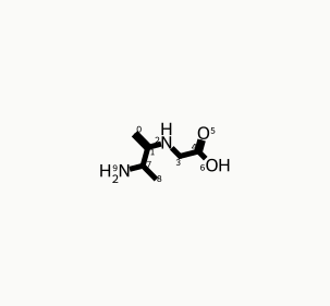 C=C(NCC(=O)O)C(C)N